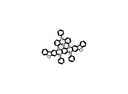 c1ccc(N2c3cc4oc5ccccc5c4cc3B3c4cccc5c4N4c6c(cccc6N5c5ccccc5)B5c6cc7c(cc6N(c6ccccc6)c6cc2c3c4c65)oc2ccccc27)cc1